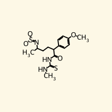 CNC(=S)NC(=O)C(CCC(C)N=S(=O)=O)c1ccc(OC)cc1